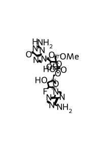 COC[C@H]1O[C@@H](n2cnc3c(=O)[nH]c(N)nc32)C(O)[C@H]1OP(=O)(O)OC[C@H]1O[C@@H](n2cnc3c(N)ncnc32)C(F)C1O